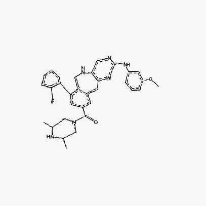 COc1cccc(Nc2ncc3c(n2)C=c2cc(C(=O)N4CC(C)NC(C)C4)cc(-c4ccccc4F)c2=CN3)c1